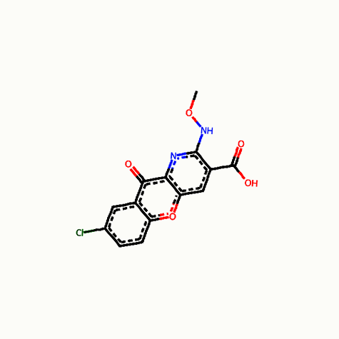 CONc1nc2c(=O)c3cc(Cl)ccc3oc2cc1C(=O)O